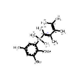 COc1c(C(C)(C)C)cc(C)cc1[Si](C)(C)/C(C)=C(\C)C(C)=C(C)C